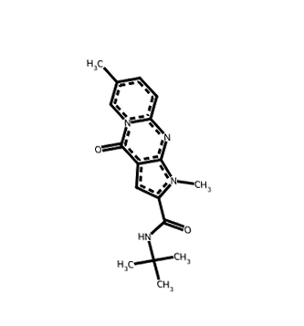 Cc1ccc2nc3c(cc(C(=O)NC(C)(C)C)n3C)c(=O)n2c1